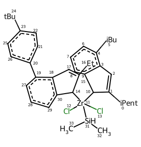 CCCC(C)C1=Cc2c(C(C)CC)cccc2[CH]1[Zr]([Cl])([Cl])([CH]1C(CC)=Cc2c(-c3ccc(C(C)(C)C)cc3)cccc21)[SiH](C)C